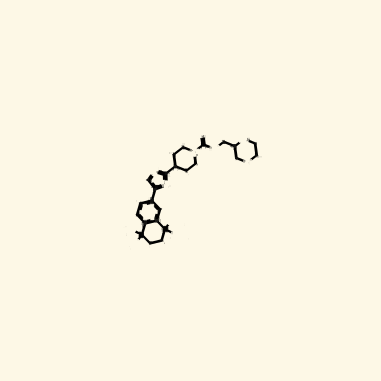 CC1(C)CCC(C)(C)c2cc(-c3csc(C4CCN(C(=O)OCC5CNCCO5)CC4)n3)ccc21